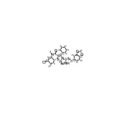 Cc1ccc(N(C)C(=O)C2=C(c3ccccc3)N3C(=NNC3SCc3ccc4c(c3)OCO4)S2)cc1Cl